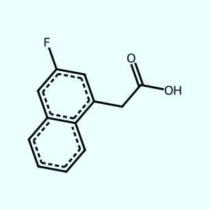 O=C(O)Cc1cc(F)cc2ccccc12